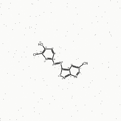 N#Cc1cnc2nsc(/N=N/c3ccc(O)c(Cl)n3)c2c1